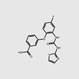 O=C(Nc1nccs1)Nc1cc(F)ccc1Oc1cccc(C(=O)O)c1